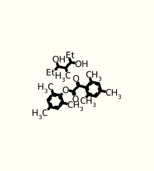 CCC(O)C(C)C(O)CC.Cc1cc(C)c(OC(=O)C(=O)c2c(C)cc(C)cc2C)c(C)c1